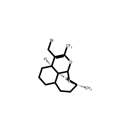 C[C@]12CCC3CCC[C@H]4C(CBr)=C(C(F)(F)F)OC(O1)[C@@]34OO2